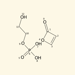 O=C1C=CO1.O=P(O)(O)OCCO